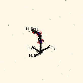 CCCCCCCCCC1CCC(CCCCCC)C(CCCCCCCC)C1CCCCCCCCN1C(=O)c2ccc(-c3ccc4c(c3)C(=O)N(CC3CC5C6CC(CC(C)C)C(C6)C5C3)C4=O)cc2C1=O